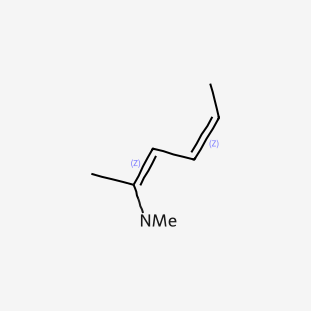 C/C=C\C=C(\C)NC